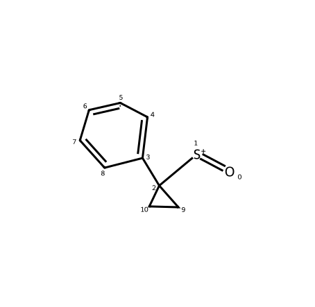 O=[S+]C1(c2c[c]ccc2)CC1